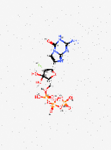 Nc1nc2nc([C@@H]3O[C@H](COP(=O)(O)OP(=O)(O)OP(=O)(O)O)C(O)(O)[C@@H]3F)cn2c(=O)[nH]1